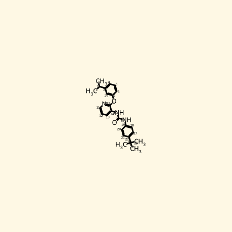 CC(C)c1cccc(Oc2ncccc2NC(=O)Nc2ccc(C(C)(C)C)cc2)c1